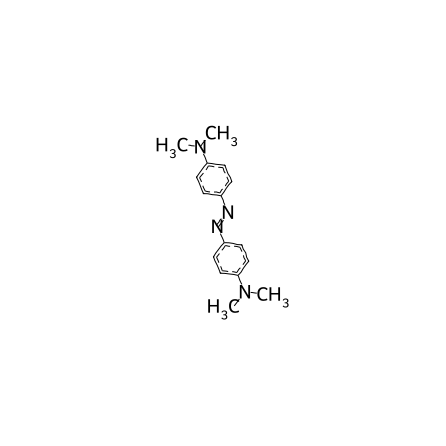 CN(C)c1ccc(N=Nc2ccc(N(C)C)cc2)cc1